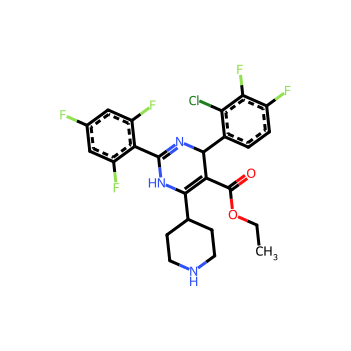 CCOC(=O)C1=C(C2CCNCC2)NC(c2c(F)cc(F)cc2F)=NC1c1ccc(F)c(F)c1Cl